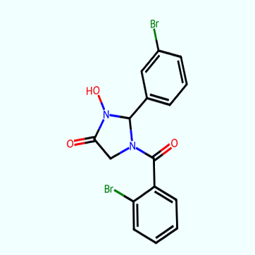 O=C1CN(C(=O)c2ccccc2Br)C(c2cccc(Br)c2)N1O